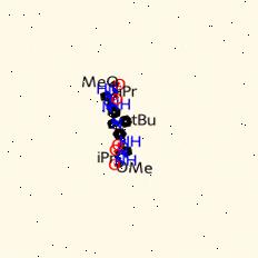 COC(=O)N[C@H](C(=O)N1CCC[C@H]1C(=O)Nc1ccc([C@@H]2CC[C@@H](c3ccc4[nH]c([C@@H]5CCCN5C(=O)[C@@H](NC(=O)OC)C(C)C)nc4c3)N2c2ccc(C(C)(C)C)cc2)cc1)C(C)C